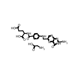 NCC(=O)O.Nc1nc2ncc(CNc3ccc(C(=O)NC(CCC(=O)O)C(=O)O)cc3)nc2c(=O)[nH]1